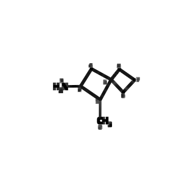 CC1C(N)CC12CCC2